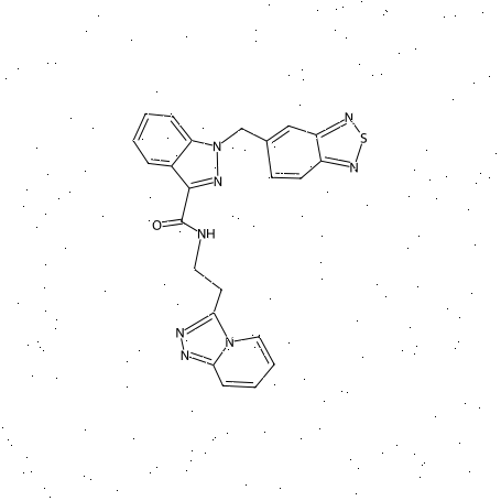 O=C(NCCc1nnc2ccccn12)c1nn(Cc2ccc3nsnc3c2)c2ccccc12